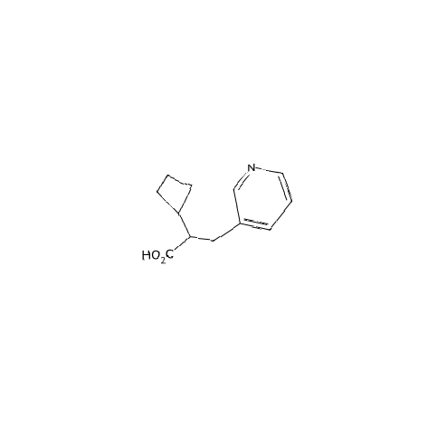 O=C(O)C(Cc1cccnc1)C1CCC1